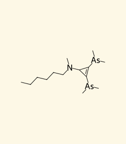 CCCCCCN(C)C1C([As](C)C)=C1[As](C)C